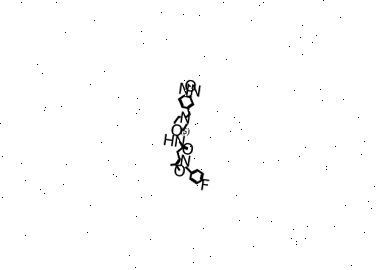 Cc1oc(-c2ccc(F)cc2)nc1CC(=O)NC[C@H]1CN(Cc2ccc3nonc3c2)CCO1